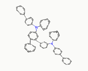 c1ccc(-c2ccc(N(c3ccccc3)c3cccc(-c4cc(N(c5ccccc5)c5ccc(-c6ccccc6)cc5)ccc4-c4ccccc4)c3)cc2)cc1